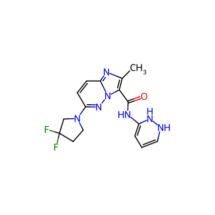 Cc1nc2ccc(N3CCC(F)(F)C3)nn2c1C(=O)NC1=CC=CNN1